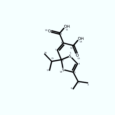 CC(C)C1=CSC(C=C(C(=O)O)C(=O)O)(C(C)C)S1